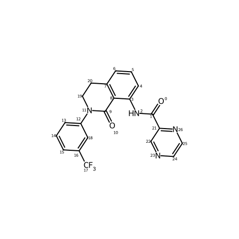 O=C(Nc1cccc2c1C(=O)N(c1cccc(C(F)(F)F)c1)CC2)c1cnccn1